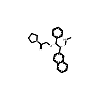 CNC[C@H](c1ccc2ccccc2c1)[C@H](OCC(=O)N1CCCC1)c1ccccc1